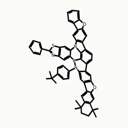 CC(C)(C)c1ccc(N2B3c4cc5nc(-c6ccccc6)sc5cc4-n4c5cc6c(cc5c5ccc(c3c54)-c3cc4oc5cc7c(cc5c4cc32)C(C)(C)CCC7(C)C)oc2ccccc26)cc1